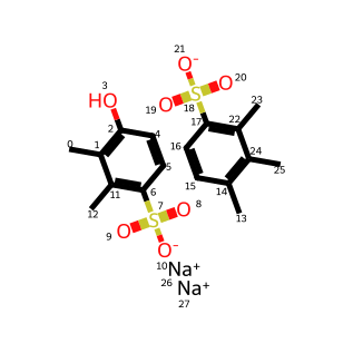 Cc1c(O)ccc(S(=O)(=O)[O-])c1C.Cc1ccc(S(=O)(=O)[O-])c(C)c1C.[Na+].[Na+]